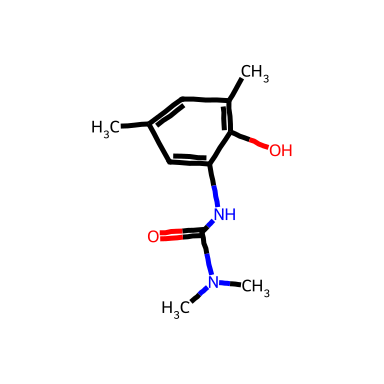 Cc1cc(C)c(O)c(NC(=O)N(C)C)c1